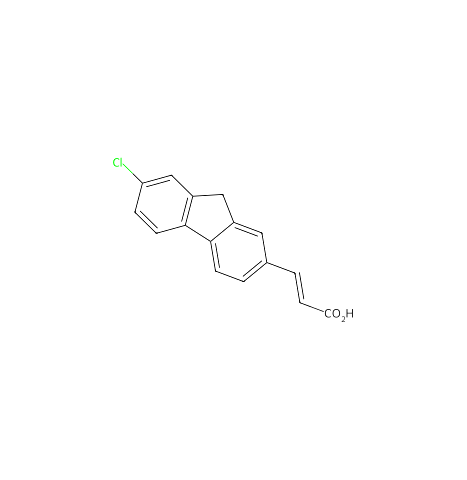 O=C(O)C=Cc1ccc2c(c1)Cc1cc(Cl)ccc1-2